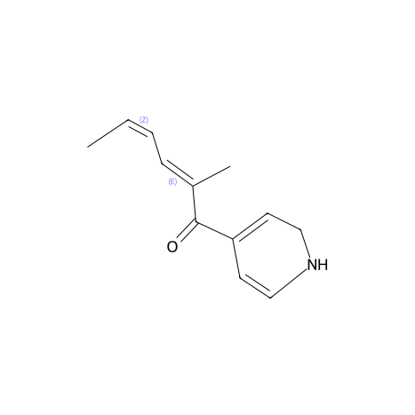 C/C=C\C=C(/C)C(=O)C1=CCNC=C1